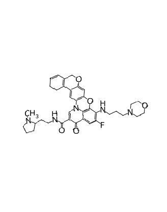 CN1CCCC1CCNC(=O)c1cn2c3c(c(NCCCN4CCOCC4)c(F)cc3c1=O)Oc1cc3c(cc1-2)C1=C(C=CCC1)CO3